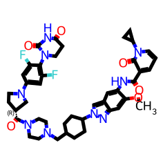 COc1cc2nn(C3CCC(CN4CCN(C(=O)[C@@H]5CCN(c6cc(F)c(N7CCC(=O)NC7=O)c(F)c6)C5)CC4)CC3)cc2cc1NC(=O)c1cccn(C2CC2)c1=O